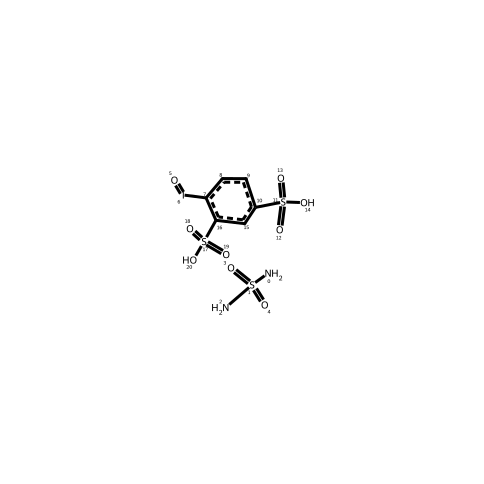 NS(N)(=O)=O.O=Ic1ccc(S(=O)(=O)O)cc1S(=O)(=O)O